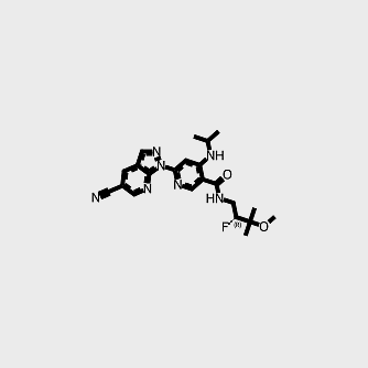 COC(C)(C)[C@H](F)CNC(=O)c1cnc(-n2ncc3cc(C#N)cnc32)cc1NC(C)C